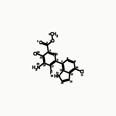 COC(=O)c1nc(-c2ccc(Cl)c3cc[nH]c23)c(F)c(N)c1Cl